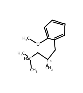 COc1ccccc1C[C@H](C)[CH2][SnH]([CH3])[CH3]